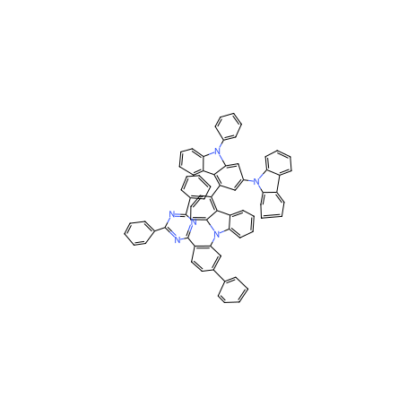 c1ccc(-c2ccc(-c3nc(-c4ccccc4)nc(-c4ccccc4)n3)c(-n3c4ccccc4c4c(-c5cc(-n6c7ccccc7c7ccccc76)cc6c5c5ccccc5n6-c5ccccc5)cccc43)c2)cc1